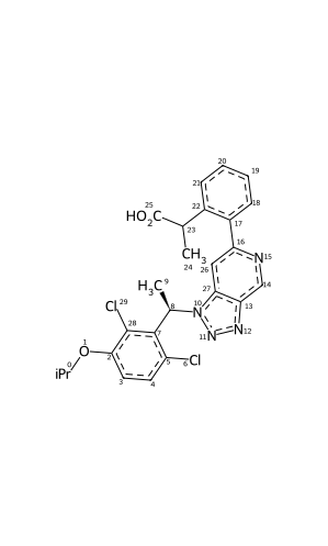 CC(C)Oc1ccc(Cl)c([C@@H](C)n2nnc3cnc(-c4ccccc4C(C)C(=O)O)cc32)c1Cl